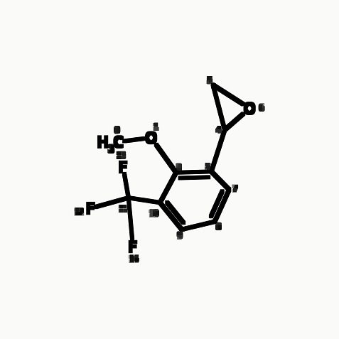 COc1c(C2CO2)cccc1C(F)(F)F